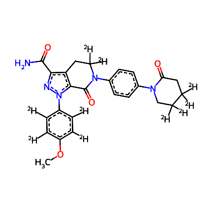 [2H]c1c([2H])c(-n2nc(C(N)=O)c3c2C(=O)N(c2ccc(N4CC([2H])([2H])C([2H])([2H])CC4=O)cc2)C([2H])([2H])C3)c([2H])c([2H])c1OC